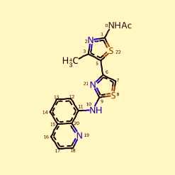 CC(=O)Nc1nc(C)c(-c2csc(Nc3cccc4cccnc34)n2)s1